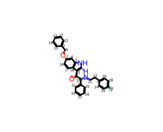 O=C(c1c[nH]c2cc(OCc3ccccc3)ccc12)[C@@H](NCCc1ccc(F)cc1)c1ccccc1